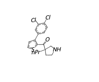 CCCC1(C(=O)c2sccc2-c2ccc(Cl)c(Cl)c2)CCNC1